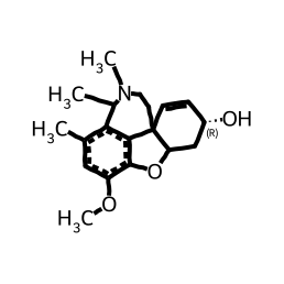 COc1cc(C)c2c3c1OC1C[C@@H](O)C=CC31CCN(C)C2C